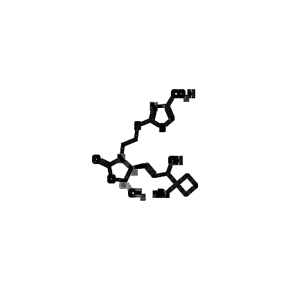 CCCCC1(C(O)C=C[C@H]2[C@H](C)OC(=O)N2CCSc2nc(C(=O)O)cs2)CCC1